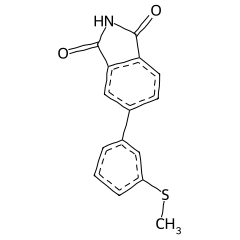 CSc1cccc(-c2ccc3c(c2)C(=O)NC3=O)c1